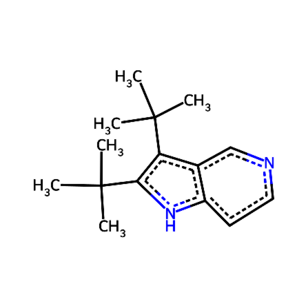 CC(C)(C)c1[nH]c2ccncc2c1C(C)(C)C